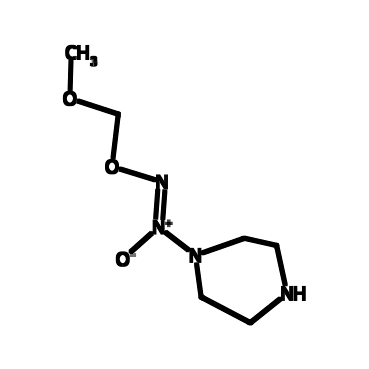 COCO/N=[N+](\[O-])N1CCNCC1